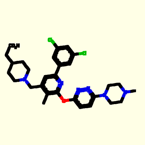 Cc1c(CN2CCC(CC(=O)O)CC2)cc(-c2cc(Cl)cc(Cl)c2)nc1Oc1ccc(N2CCN(C)CC2)nn1